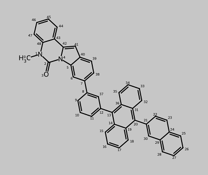 Cn1c(=O)n2c3cc(-c4cccc(-c5c6ccccc6c(-c6ccc7ccccc7c6)c6ccccc56)c4)ccc3cc2c2ccccc21